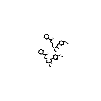 CCN(CCCC(=O)C1CCCCC1)C(C)Cc1ccc(OC)cc1.CCN(CCCC(=O)C1CCCCC1)[C@@H](C)Cc1ccc(OC)cc1